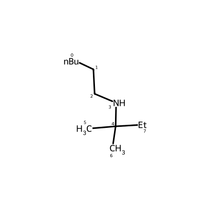 CCCCCCNC(C)(C)CC